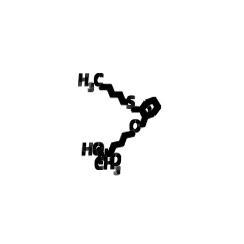 CCCCCCSCC1C2CCC(O2)C1COCCCCC(=O)N(C)O